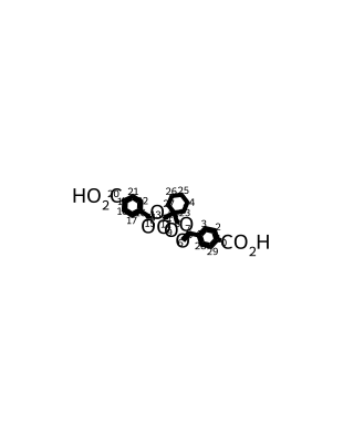 O=C(O)c1ccc(C(=O)OC(=O)C2(C(=O)OC(=O)c3ccc(C(=O)O)cc3)CCCCC2)cc1